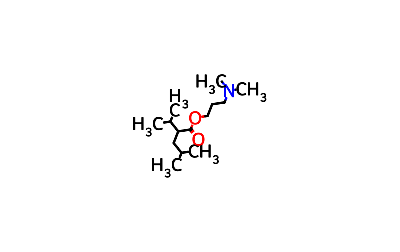 CC(C)CC(C(=O)OCCCN(C)C)C(C)C